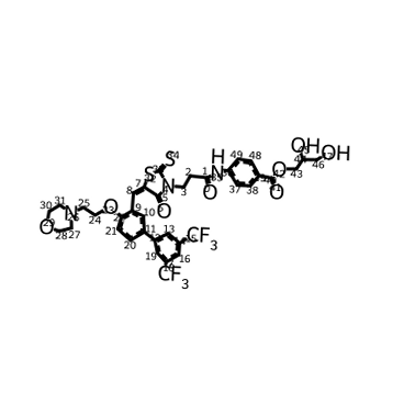 O=C(CCN1C(=O)C(=Cc2cc(-c3cc(C(F)(F)F)cc(C(F)(F)F)c3)ccc2OCCN2CCOCC2)SC1=S)Nc1ccc(C(=O)OCC(O)CO)cc1